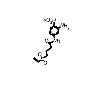 C=CS(=O)(=O)CCCC(=O)Nc1ccc(S(=O)(=O)O)c(N)c1